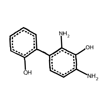 Nc1ccc(-c2ccccc2O)c(N)c1O